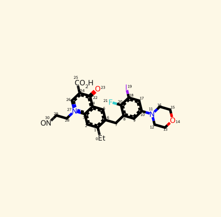 CCc1cc2c(cc1Cc1cc(N3CCOCC3)cc(I)c1F)c(=O)c(C(=O)O)cn2CCN=O